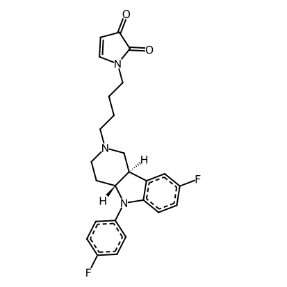 O=C1C=CN(CCCCN2CC[C@@H]3[C@@H](C2)c2cc(F)ccc2N3c2ccc(F)cc2)C1=O